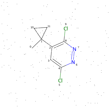 CC1(c2cc(Cl)nnc2Cl)CC1